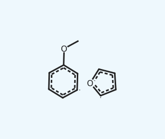 COc1c[c]ccc1.[c]1ccco1